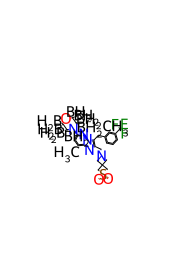 BC1(B)OC(B)(B)C(B)(B)N(c2cc(C)c3nc(CN4CC5(C4)CS(=O)(=O)C5)c(Cc4cccc(C(F)(F)F)c4C)n3n2)C1(B)B